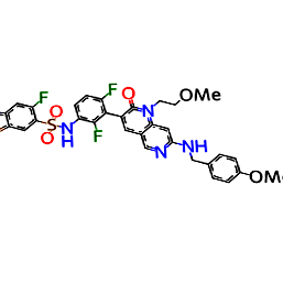 COCCn1c(=O)c(-c2c(F)ccc(NS(=O)(=O)c3cc4scnc4cc3F)c2F)cc2cnc(NCc3ccc(OC)cc3)cc21